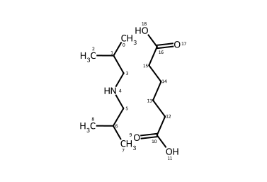 CC(C)CNCC(C)C.O=C(O)CCCCC(=O)O